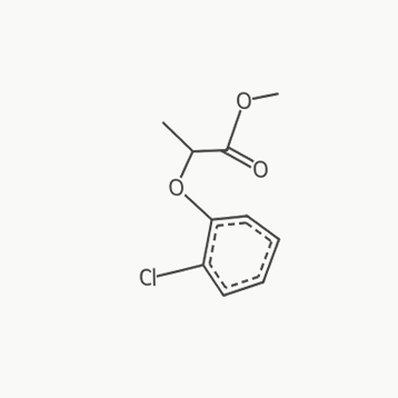 COC(=O)C(C)Oc1ccccc1Cl